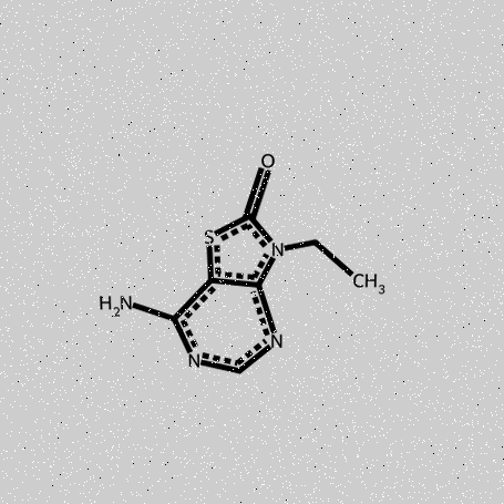 CCn1c(=O)sc2c(N)ncnc21